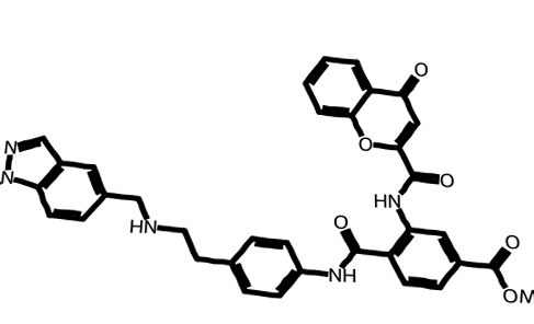 COC(=O)c1ccc(C(=O)Nc2ccc(CCNCc3ccc4c(cnn4C)c3)cc2)c(NC(=O)c2cc(=O)c3ccccc3o2)c1